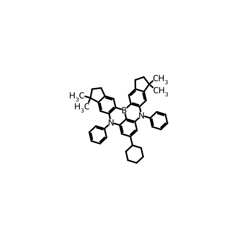 CC1(C)CCc2cc3c(cc21)N(c1ccccc1)c1cc(C2CCCCC2)cc2c1B3c1cc3c(cc1N2c1ccccc1)C(C)(C)CC3